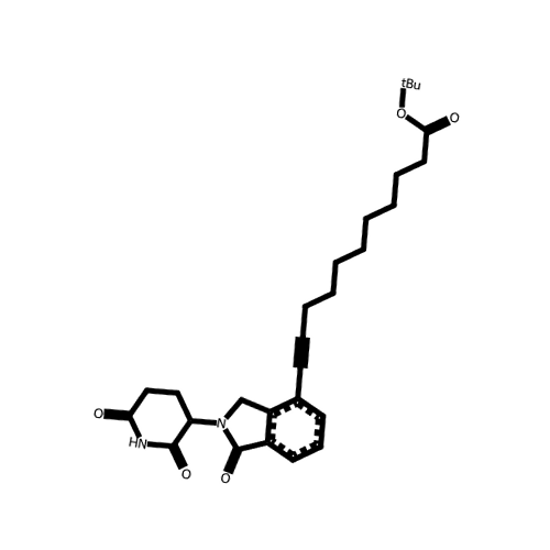 CC(C)(C)OC(=O)CCCCCCCCC#Cc1cccc2c1CN(C1CCC(=O)NC1=O)C2=O